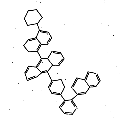 C1=CC2C(C3=CC=C(c4cccnc4-c4ccc5ccccc5c4)CC3)=c3ccccc3=C(C3=c4cccc(C5CCCCC5)c4=CCC3)C2C=C1